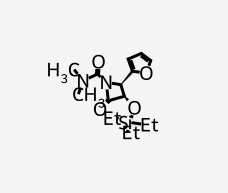 CC[Si](CC)(CC)O[C@H]1C(=O)N(C(=O)N(C)C)[C@H]1c1ccco1